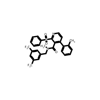 Cc1ccccc1-c1ccnc(S(=O)(=O)c2ccccc2)c1C(=O)N(C)Cc1cc(C(F)(F)F)cc(C(F)(F)F)c1